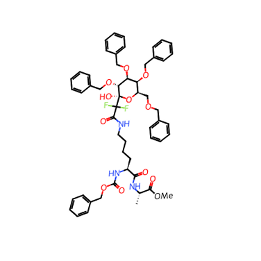 COC(=O)[C@H](C)NC(=O)[C@H](CCCCNC(=O)C(F)(F)[C@]1(O)O[C@H](COCc2ccccc2)[C@H](OCc2ccccc2)[C@H](OCc2ccccc2)[C@H]1OCc1ccccc1)NC(=O)OCc1ccccc1